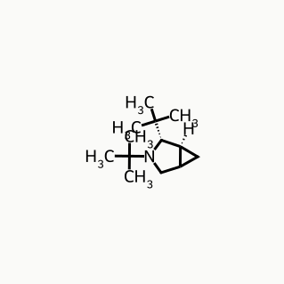 CC(C)(C)[C@@H]1[C@H]2CC2CN1C(C)(C)C